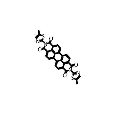 Cc1cnc(N2C(=O)c3ccc4c5ccc6c7c(ccc(c8ccc(c3c48)C2=O)c75)C(=O)N(c2ncc(C)s2)C6=O)s1